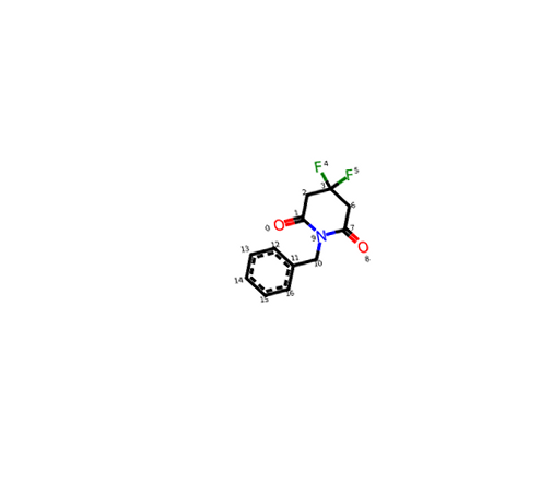 O=C1CC(F)(F)CC(=O)N1Cc1ccccc1